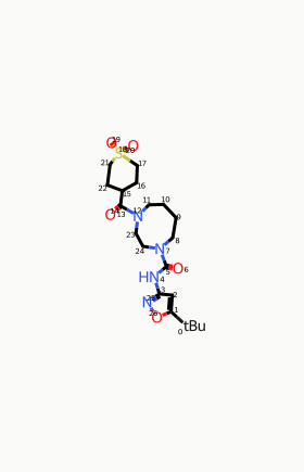 CC(C)(C)c1cc(NC(=O)N2CCCCN(C(=O)C3CCS(=O)(=O)CC3)CC2)no1